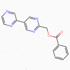 O=C(OCc1ncc(-c2cnccn2)cn1)c1ccccc1